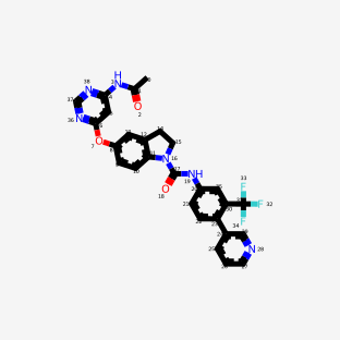 CC(=O)Nc1cc(Oc2ccc3c(c2)CCN3C(=O)Nc2ccc(-c3cccnc3)c(C(F)(F)F)c2)ncn1